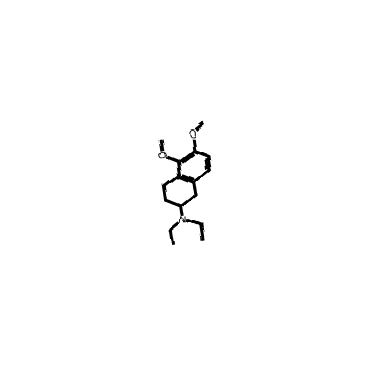 CCN(CC)C1CCc2c(ccc(OC)c2OC)C1